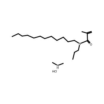 C=C(C)C(=O)N(CCC)CCCCCCCCCCCC.CNC.Cl